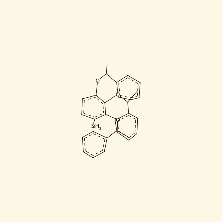 CC(Oc1ccc([SiH3])c(OC(C)c2ccccc2)c1OC(C)c1ccccc1)c1ccccc1